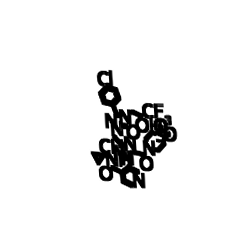 CC1(NC(=O)c2ccncc2-n2nc(Cn3nc(-c4ccc(Cl)cc4)n(C[C@H](O)C(F)(F)F)c3=O)nc2C(=O)N2CCS(=O)(=O)CC2)CC1